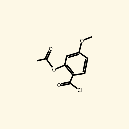 COc1ccc(C(=O)Cl)c(OC(C)=O)c1